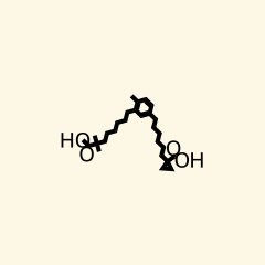 Cc1ccc(CCCCCCC2(C(=O)O)CC2)cc1CCCCCCC(C)(C)C(=O)O